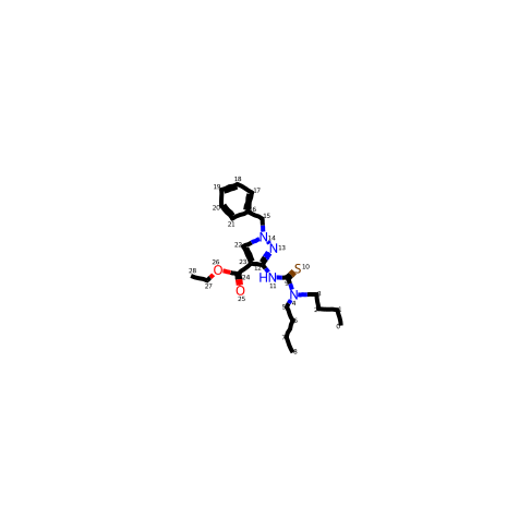 CCCCN(CCCC)C(=S)Nc1nn(Cc2ccccc2)cc1C(=O)OCC